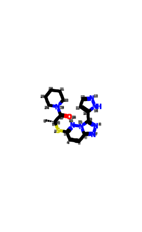 C[C@@H](Sc1ccc2nnc(-c3ccn[nH]3)n2n1)C(=O)N1CCCCC1